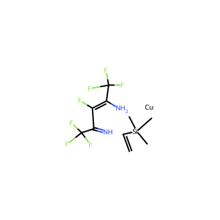 C=C[Si](C)(C)C.N=C(C(F)=C(N)C(F)(F)F)C(F)(F)F.[Cu]